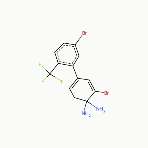 NC1(N)CC=C(c2cc(Br)ccc2C(F)(F)F)C=C1Br